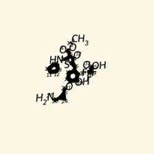 CCOC(=O)C1=C(Nc2ccccc2)S/C(=C\c2ccc(OCC3CC3CN)c(O)c2)C1=O.O=C(O)C(F)(F)F